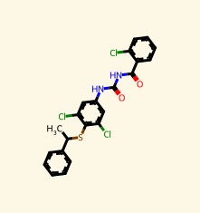 CC(Sc1c(Cl)cc(NC(=O)NC(=O)c2ccccc2Cl)cc1Cl)c1ccccc1